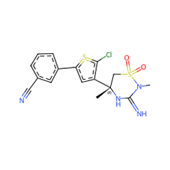 CN1C(=N)N[C@](C)(c2cc(-c3cccc(C#N)c3)sc2Cl)CS1(=O)=O